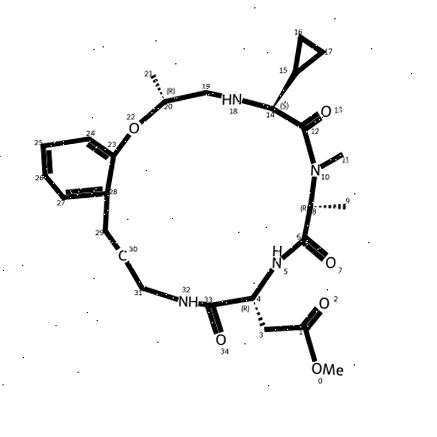 COC(=O)C[C@H]1NC(=O)[C@@H](C)N(C)C(=O)[C@H](C2CC2)NC[C@@H](C)Oc2ccccc2CCCNC1=O